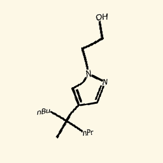 CCCCC(C)(CCC)c1cnn(CCO)c1